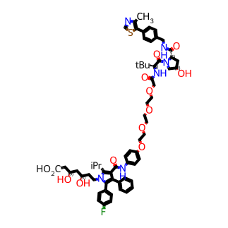 Cc1ncsc1-c1ccc(CNC(=O)[C@@H]2C[C@@H](O)CN2C(=O)[C@@H](NC(=O)COCCOCCOCCOc2ccc(NC(=O)c3c(-c4ccccc4)c(-c4ccc(F)cc4)n(CC[C@H](O)C[C@H](O)CC(=O)O)c3C(C)C)cc2)C(C)(C)C)cc1